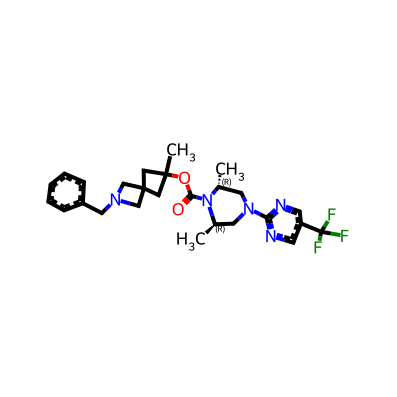 C[C@@H]1CN(c2ncc(C(F)(F)F)cn2)C[C@@H](C)N1C(=O)OC1(C)CC2(CN(Cc3ccccc3)C2)C1